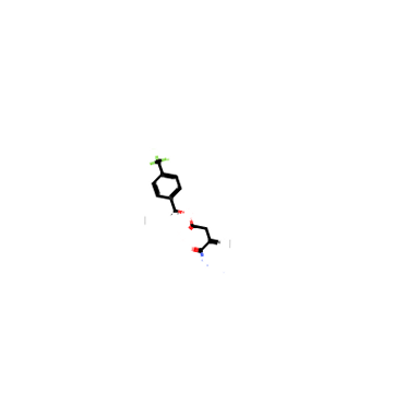 C=C(CC(=O)O[C@@H](C)c1ccc(C(F)(F)F)cc1)C(N)=O